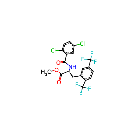 COC(=O)[C@H](Cc1cc(C(F)(F)F)ccc1C(F)(F)F)NC(=O)c1cc(Cl)ccc1Cl